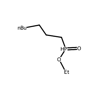 CCCCCCC[PH](=O)OCC